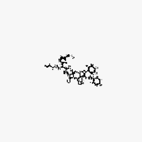 C=CCON=C(C(=O)NC1C(=O)N2CC(CCl)(C(=O)OC(c3ccccc3)c3ccccc3)CS[C@H]12)c1nsc(N)n1